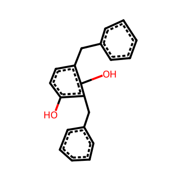 Oc1ccc(Cc2ccccc2)c(O)c1Cc1ccccc1